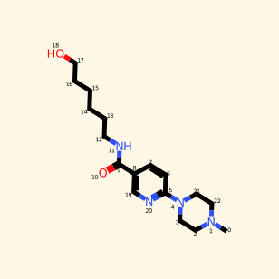 CN1CCN(c2ccc(C(=O)NCCCCCCO)cn2)CC1